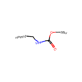 [CH2]CCCC[CH]NC(=O)OC(C)(C)C